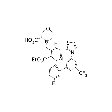 CCOC(=O)C1=C(CN2CCOC[C@H]2C(=O)O)NC(c2nccs2)=NC1c1ccc(F)cc1-c1cc(C)cc(C(F)(F)F)c1